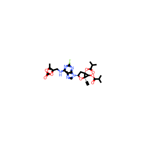 C#C[C@]12O[C@@H](n3cnc4c(NCc5oc(=O)oc5C)nc(F)nc43)C[C@@]1(OC(=O)C(C)C)C2OC(=O)C(C)C